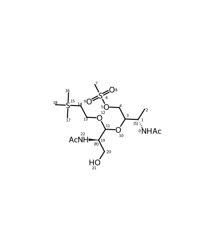 CC(=O)N[C@@H](C)C(COS(C)(=O)=O)OC(OCCS(C)(C)C)[C@@H](CO)NC(C)=O